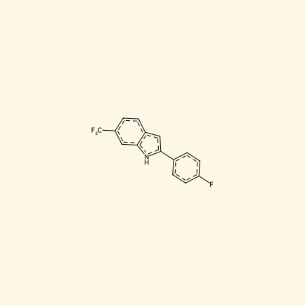 Fc1ccc(-c2cc3ccc(C(F)(F)F)cc3[nH]2)cc1